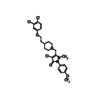 Cn1c(CN2CCC(CCOc3ccc(Cl)c(Cl)c3)CC2)c(Cl)c(=O)n1-c1ccc(OC(F)(F)F)cc1